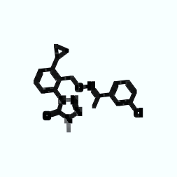 CC(=NOCc1c(C2CC2)cccc1-n1nnn(C)c1=O)c1cccc(Cl)c1